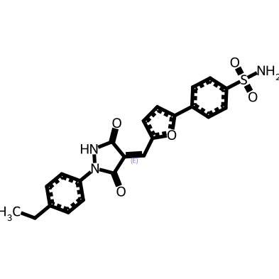 CCc1ccc(N2NC(=O)/C(=C\c3ccc(-c4ccc(S(N)(=O)=O)cc4)o3)C2=O)cc1